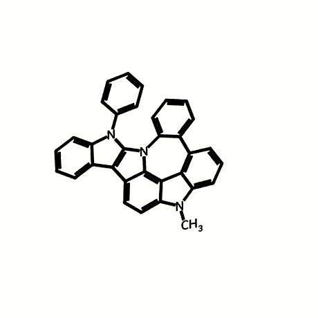 Cn1c2cccc3c4ccccc4n4c5c(ccc1c5c32)c1c2ccccc2n(-c2ccccc2)c14